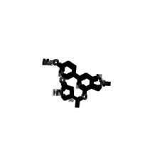 COc1ccc(-c2cc3nn(C)cc3c(OC(C)[C@H]3CNC(=O)C3)n2)cn1